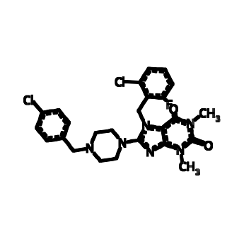 Cn1c(=O)c2c(nc(N3CCN(Cc4ccc(Cl)cc4)CC3)n2Cc2c(F)cccc2Cl)n(C)c1=O